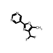 Cc1oc(-c2cncnc2)nc1C(F)F